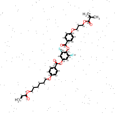 C=CC(=O)OCCCCCCOc1ccc(C(=O)Oc2cc(F)c(OC(=O)c3ccc(OCCCOC(=O)C(=C)C)cc3)c(F)c2)cc1